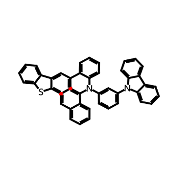 c1cc(N(c2ccccc2-c2ccc3sc4ccccc4c3c2)c2cccc3ccccc23)cc(-n2c3ccccc3c3ccccc32)c1